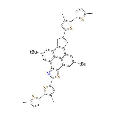 Cc1ccc(-c2sc(C3=Cc4c(c5cc(C(C)(C)C)cc6c7nc(-c8cc(C)c(-c9ccc(C)s9)s8)sc7c7cc(C(C)(C)C)cc4c7c56)C3)cc2C)s1